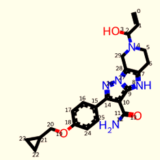 C=CC(O)N1CCc2[nH]c3c(C(N)=O)c(-c4ccc(OCC5CC5)cc4)nn3c2C1